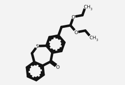 CCOC(Cc1ccc2c(c1)SCc1ccccc1C2=O)OCC